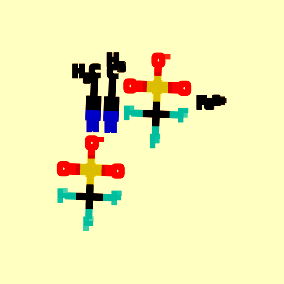 CC#N.CC#N.O=S(=O)([O-])C(F)(F)F.O=S(=O)([O-])C(F)(F)F.[Fe+2]